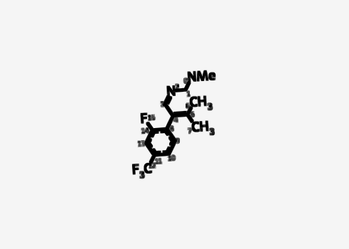 CNC/N=C\C(=C(C)C)c1ccc(C(F)(F)F)cc1F